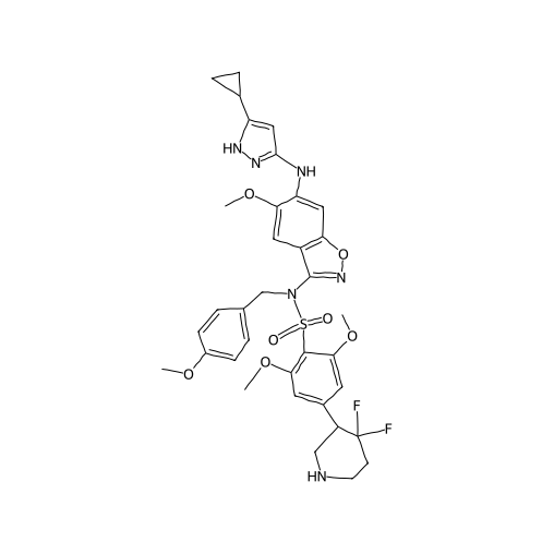 COc1ccc(CN(c2noc3cc(Nc4cc(C5CC5)[nH]n4)c(OC)cc23)S(=O)(=O)c2c(OC)cc(C3CNCCC3(F)F)cc2OC)cc1